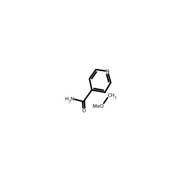 COC.NC(=O)c1ccncc1